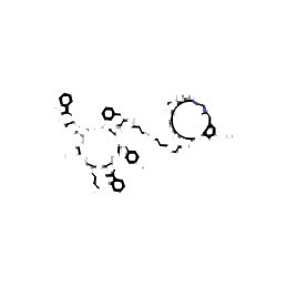 COc1cc2cc(c1Cl)N(C)C(=O)C[C@H](OC(=O)[C@H](C)N(C)C(=O)CCSSCCC(=O)N[C@H](Cc1ccccc1)C(=O)N[C@H]1CSSC[C@@H](C(=O)N[C@@H](Cc3c[nH]c4ccccc34)C(N)=O)NC(=O)[C@H](C(C)C)NC(=O)[C@H](CCCCN)NC(=O)[C@@H](Cc3c[nH]c4ccccc34)NC(=O)[C@H](Cc3ccc(O)cc3)CC1=O)[C@]1(C)O[C@H]1[C@H](C)[C@@H]1C[C@@](O)(NC(=O)O1)[C@H](OC)/C=C/C=C(\C)C2